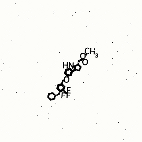 CCOC(=O)CC1CCc2c1[nH]c1ccc(OCc3ccc(CC4CCCCC4)c(C(F)(F)F)c3)cc21